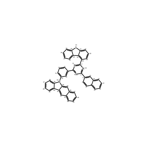 c1cc(-c2nc(-c3ccc4ccccc4c3)nc(-c3cccc4sc5ccccc5c34)n2)cc(-n2c3ccccc3c3cc4ccccc4cc32)c1